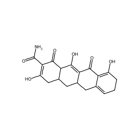 NC(=O)C1=C(O)CC2CC3CC4=CCCC(O)=C4C(=O)C3=C(O)C2C1=O